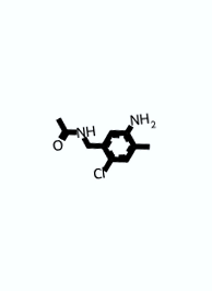 CC(=O)NCc1cc(N)c(C)cc1Cl